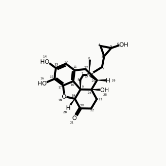 C[N@+]1(CC2CC2O)CC[C@]23c4c5cc(O)c(O)c4O[C@H]2C(=O)CC[C@@]3(O)[C@H]1C5